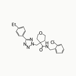 CCc1ccc(-c2nnn(CC3(C(=O)NCc4ccccc4Cl)CCOCC3)n2)cc1